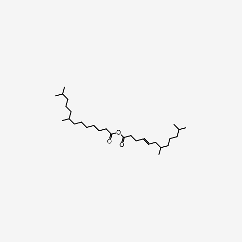 CC(C)CCCC(C)CC=CCCC(=O)OC(=O)CCCCCCC(C)CCCC(C)C